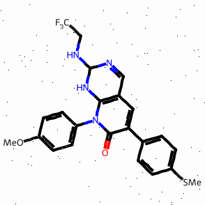 COc1ccc(-n2c3c(cc(-c4ccc(SC)cc4)c2=O)C=NC(NCC(F)(F)F)N3)cc1